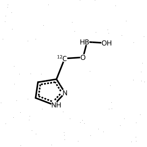 OBO[12CH2]c1cc[nH]n1